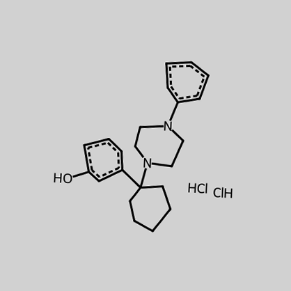 Cl.Cl.Oc1cccc(C2(N3CCN(c4ccccc4)CC3)CCCCC2)c1